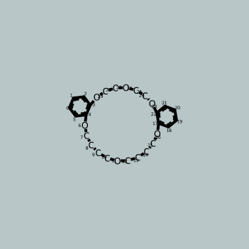 c1ccc2c(c1)OCCCCOCCCCOc1ccccc1OCCOCCO2